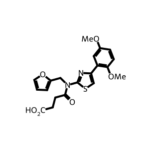 COc1ccc(OC)c(-c2csc(N(Cc3ccco3)C(=O)CCC(=O)O)n2)c1